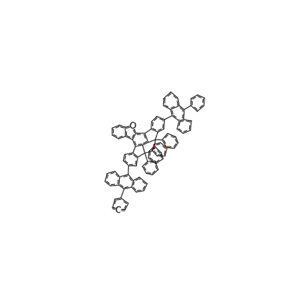 c1ccc(-c2c3ccccc3c(-c3ccc4c(c3)C(c3ccccc3)(c3ccccc3)c3c5c(c6c(oc7ccccc76)c3-4)-c3ccc(-c4c6ccccc6c(-c6ccccc6)c6ccccc46)cc3C5(c3ccccc3)c3ccccc3)c3ccccc23)cc1